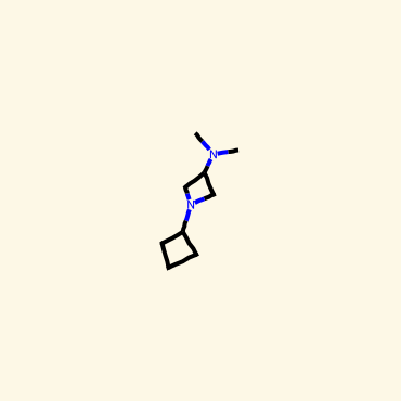 CN(C)C1CN(C2CCC2)C1